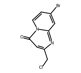 O=c1cc(CCl)nc2cc(Br)ccn12